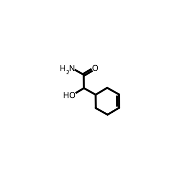 NC(=O)C(O)C1CC=CCC1